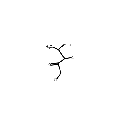 CC(C)C(Cl)C(=O)CCl